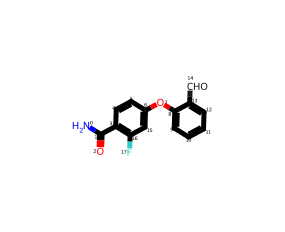 NC(=O)c1ccc(Oc2ccccc2C=O)cc1F